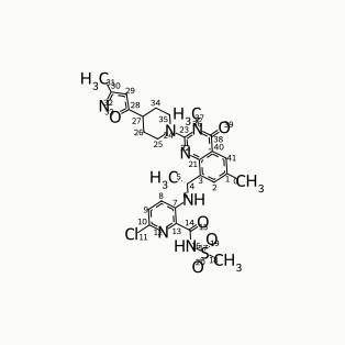 Cc1cc([C@@H](C)Nc2ccc(Cl)nc2C(=O)NS(C)(=O)=O)c2nc(N3CCC(c4cc(C)no4)CC3)n(C)c(=O)c2c1